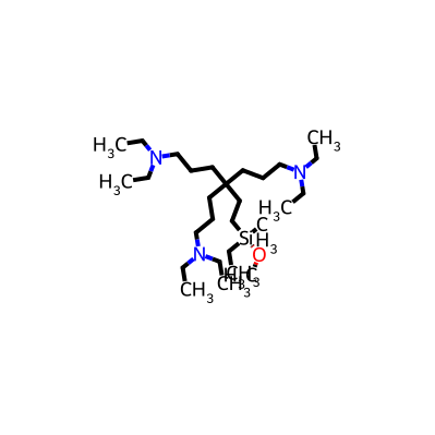 CCN(CC)CCCC(CCCN(CC)CC)(CCCN(CC)CC)CC[Si](C)(CC)OC